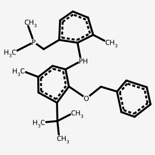 Cc1cc(Pc2c(C)cccc2CP(C)C)c(OCc2ccccc2)c(C(C)(C)C)c1